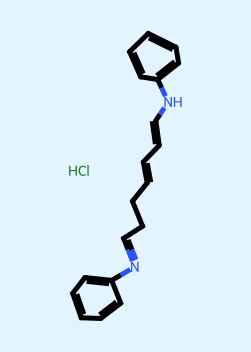 C(C=CNc1ccccc1)=CCCC=Nc1ccccc1.Cl